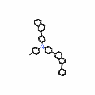 Cc1ccc(N(c2ccc(-c3ccc4ccccc4c3)cc2)c2ccc(-c3ccc4ccc(-c5ccccc5)cc4c3)cc2)cc1